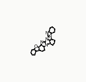 c1ccc2c(c1)nc1n2c2cccc3c2n1c1nc2c4oc5ccccc5c4ccc2n31